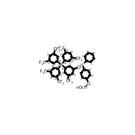 CCCCCCCCOc1ccc([I+]c2ccccc2)cc1.FC(F)(F)c1cc([B-](c2cc(C(F)(F)F)cc(C(F)(F)F)c2)(c2cc(C(F)(F)F)cc(C(F)(F)F)c2)c2cc(C(F)(F)F)cc(C(F)(F)F)c2)cc(C(F)(F)F)c1